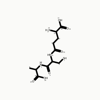 CC(NC(=O)C(CS)NC(=O)CCC(N)C(=O)O)C(=O)O